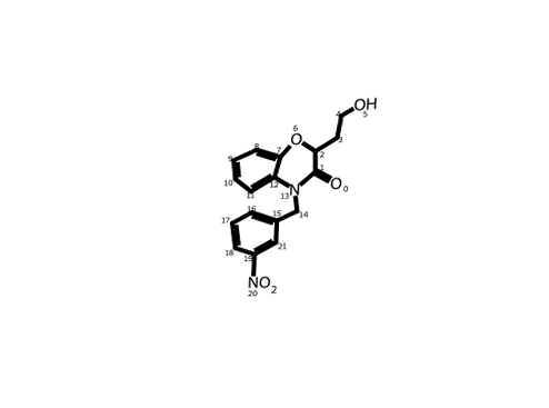 O=C1C(CCO)Oc2ccccc2N1Cc1cccc([N+](=O)[O-])c1